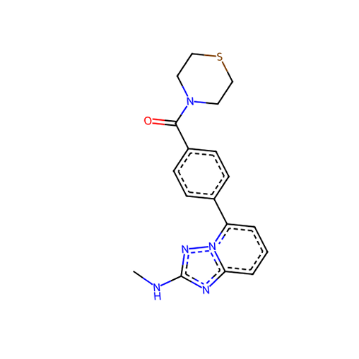 CNc1nc2cccc(-c3ccc(C(=O)N4CCSCC4)cc3)n2n1